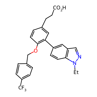 CCn1ncc2cc(-c3cc(CCC(=O)O)ccc3OCc3ccc(C(F)(F)F)cc3)ccc21